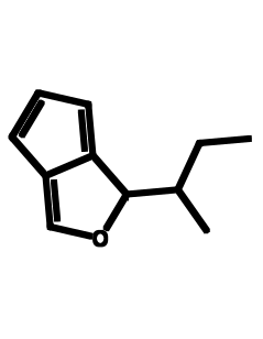 CCC(C)[C]1OC=C2C=CC=C12